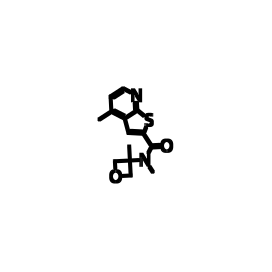 Cc1ccnc2sc(C(=O)N(C)C3(C)COC3)cc12